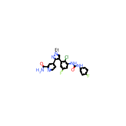 CCn1cc(-c2cc(F)cc(NC(=O)Nc3ccc(F)cc3)c2Cl)c(-c2ccnc(C(N)=O)c2)n1